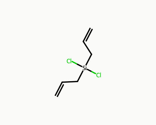 C=CC[Si](Cl)(Cl)CC=C